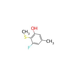 CSc1c(O)cc(C)cc1F